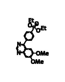 CCOP(=O)(OCC)c1ccc(-c2ncnc3cc(OC)c(OC)cc23)cc1